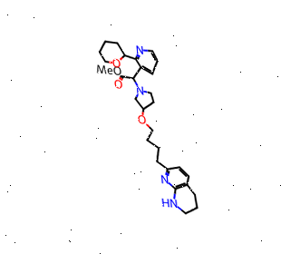 COC(=O)C(c1cccnc1C1CCCCO1)N1CCC(OCCCCc2ccc3c(n2)NCCC3)C1